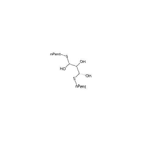 CCCCCSC(O)C(O)[C@H](O)SCCCCC